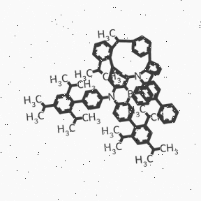 CC(C)c1cc(C(C)C)c(-c2ccc(N3c4ccc(-c5c(C(C)C)cc(C(C)C)cc5C(C)C)cc4B4c5cc(-c6ccccc6)ccc5N5c6cc(cc3c64)-c3c(C(C)C)cccc3C(C)c3ccc(cc3)-c3cccc(-c4ccccc4)c35)cc2)c(C(C)C)c1